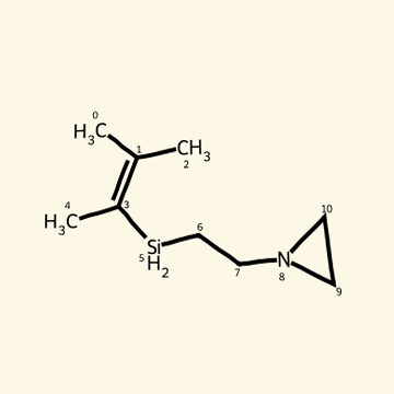 CC(C)=C(C)[SiH2]CCN1CC1